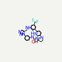 NCc1cnnn1-c1cccc(NC(=O)N2c3nc(-c4cccc(C(F)F)c4)ccc3N3CC[C@H]2C3)c1